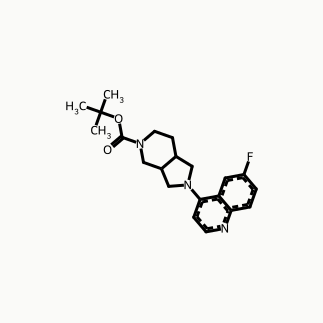 CC(C)(C)OC(=O)N1CCC2CN(c3ccnc4ccc(F)cc34)CC2C1